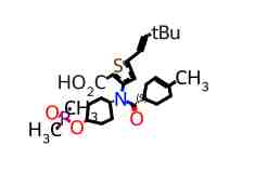 CC1=CC[C@@H](C(=O)N(c2cc(C#CC(C)(C)C)sc2C(=O)O)[C@H]2CC[C@H](OP(C)(C)=O)CC2)CC1